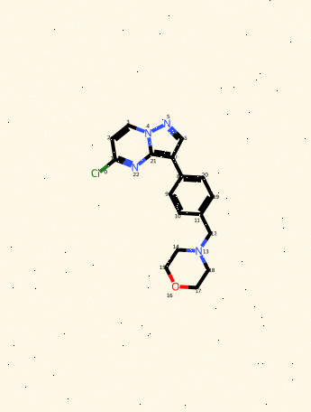 Clc1ccn2ncc(-c3ccc(CN4CCOCC4)cc3)c2n1